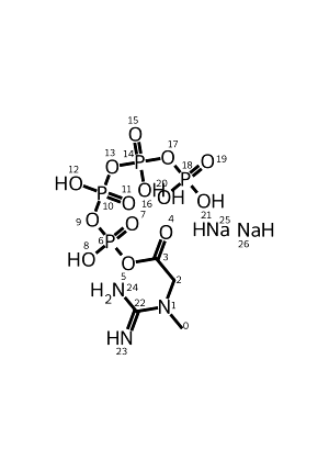 CN(CC(=O)OP(=O)(O)OP(=O)(O)OP(=O)(O)OP(=O)(O)O)C(=N)N.[NaH].[NaH]